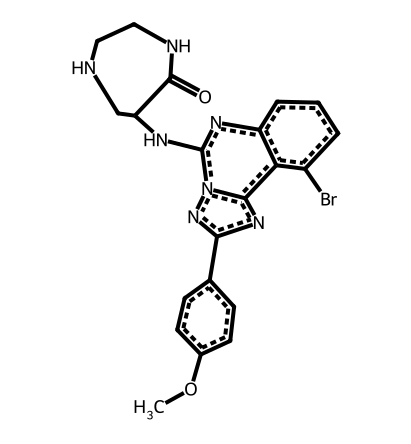 COc1ccc(-c2nc3c4c(Br)cccc4nc(NC4CNCCNC4=O)n3n2)cc1